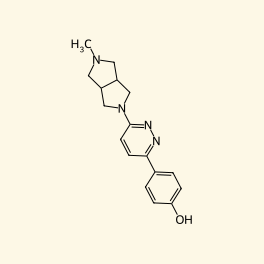 CN1CC2CN(c3ccc(-c4ccc(O)cc4)nn3)CC2C1